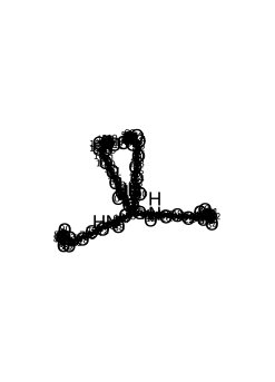 O=C(CCOCC(COCCC(=O)NCCOCCOCCOCCC(=O)ON1C(=O)CCC1=O)(COCCC(=O)NCCOCCOCCOCCC(=O)ON1C(=O)CCC1=O)COCCC(=O)NCCOCCOCCOCCC(=O)ON1C(=O)CCC1=O)NCCOCCOCCOCCC(=O)ON1C(=O)CCC1=O